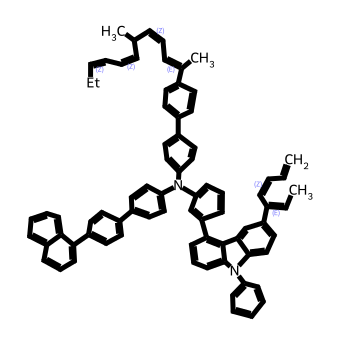 C=C/C=C\C(=C/C)c1ccc2c(c1)c1c(-c3cccc(N(c4ccc(-c5ccc(/C(C)=C/C=C\C(C)/C=C\C=C/CC)cc5)cc4)c4ccc(-c5ccc(-c6cccc7ccccc67)cc5)cc4)c3)cccc1n2-c1ccccc1